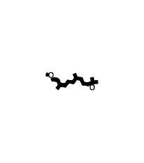 COC=CC(C)=CCCC(C)CCC1OC1(C)C